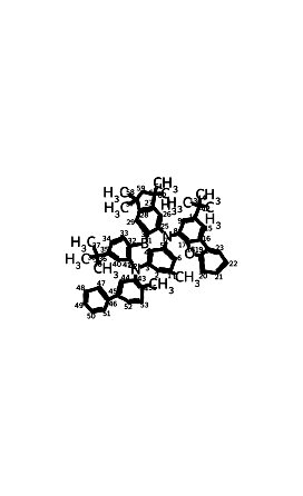 Cc1cc2c3c(c1)N(c1cc(C(C)(C)C)cc4c1oc1ccccc14)c1cc4c(cc1B3c1ccc(C(C)(C)C)cc1N2c1cc(-c2ccccc2)ccc1C)C(C)(C)CC4(C)C